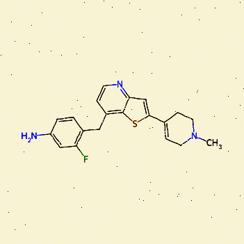 CN1CC=C(c2cc3nccc(Cc4ccc(N)cc4F)c3s2)CC1